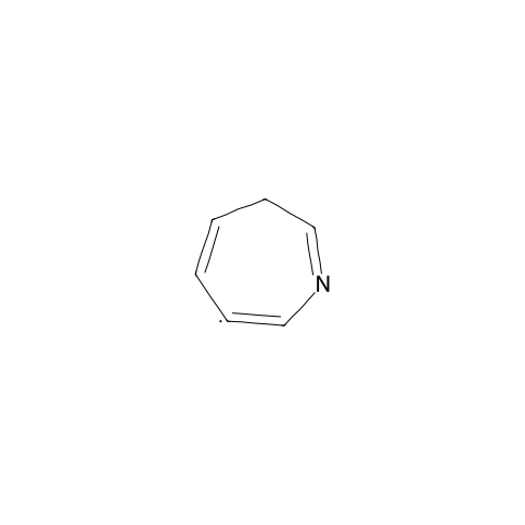 [C]1=CN=CCC=C1